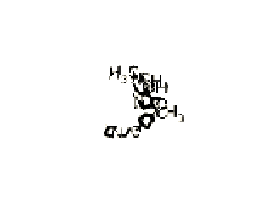 CN(C)Cc1ncc2c(c1O)COC2(C)c1ccc(OCCN2CCCC2)cc1